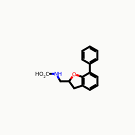 O=C(O)NCC1Cc2cccc(-c3ccccc3)c2O1